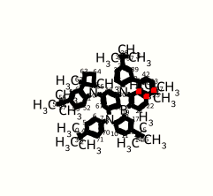 CC(C)(C)c1ccc(N2c3ccc(C(C)(C)C)cc3B3c4ccc(C(C)(C)C)cc4N(c4ccc(C(C)(C)C)cc4-c4ccccc4)c4cc(N5c6ccc(C(C)(C)C)cc6C6(C)CCC56C)cc2c43)cc1